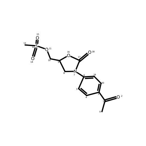 CC(=O)c1ccc(N2CC(COS(C)(=O)=O)OC2=O)cc1